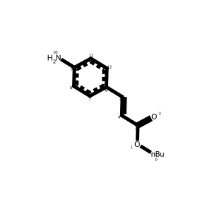 CCCCOC(=O)/C=C/c1ccc(N)cc1